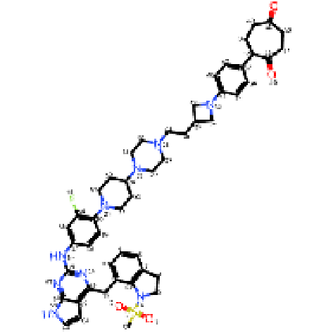 CS(=O)(=O)N1CCc2cccc(Cc3nc(Nc4ccc(N5CCC(N6CCN(CCC7CN(c8ccc(C9CCC(=O)CCC9=O)cc8)C7)CC6)CC5)c(F)c4)nc4[nH]ccc34)c21